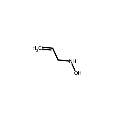 C=CCNO